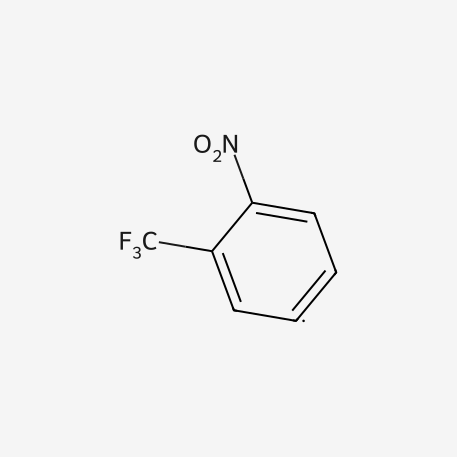 O=[N+]([O-])c1cc[c]cc1C(F)(F)F